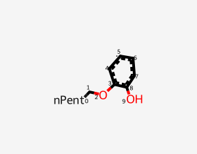 CCCCCCOc1c[c]ccc1O